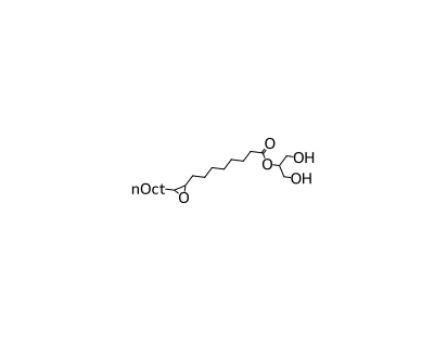 CCCCCCCCC1OC1CCCCCCCC(=O)OC(CO)CO